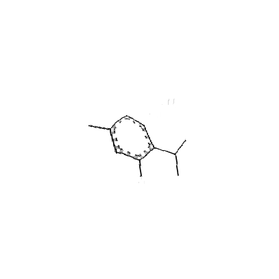 Cc1ccc(C(C)C)c(O)c1.[CaH2].[CaH2]